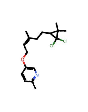 CC(=CCOc1ccc(C)nc1)CCC1C(C)(C)C1(Cl)Cl